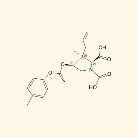 C=CC[C@]1(C)[C@H](OC(=S)Oc2ccc(C)cc2)CN(C(=O)O)[C@@H]1C(=O)O